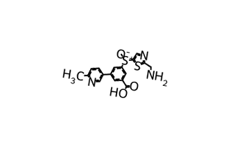 Cc1ccc(-c2cc(C(=O)O)cc([S+]([O-])c3cnc(CN)s3)c2)cn1